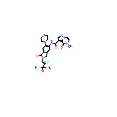 Cn1ccn2ncc(C(=O)Nc3cc4c(cc3N3CCOCC3)C(=O)N(C[C@@H](F)C(C)(C)O)C4)c2c1=O